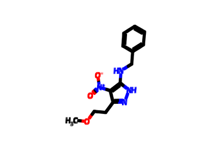 COCCc1n[nH]c(NCc2ccccc2)c1[N+](=O)[O-]